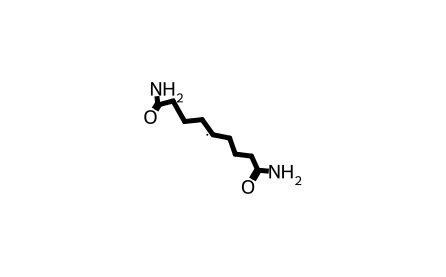 NC(=O)CCC[CH]CCCC(N)=O